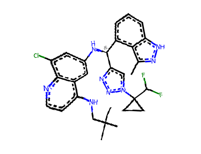 Cc1n[nH]c2cccc([C@H](Nc3cc(Cl)c4nccc(NCC(C)(C)C)c4c3)c3cn(C4(C(F)F)CC4)nn3)c12